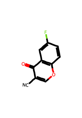 N#Cc1coc2ccc(F)cc2c1=O